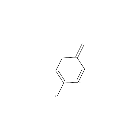 [CH2]C1=CCC(=C)C=[C]1